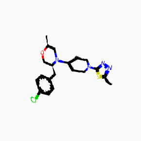 Cc1nnc(N2CCC(N3C[C@H](C)OC[C@@H]3Cc3ccc(Cl)cc3)CC2)s1